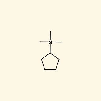 C[Si](C)(C)C1CCCC1